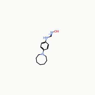 O/N=C/Nc1ccc(N2CCCCCCC2)cc1